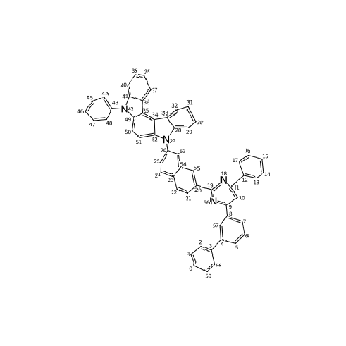 c1ccc(-c2cccc(-c3cc(-c4ccccc4)nc(-c4ccc5ccc(-n6c7ccccc7c7c8c9ccccc9n(-c9ccccc9)c8ccc76)cc5c4)n3)c2)cc1